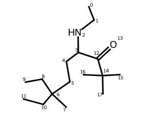 CCNC(CCC(C)(CC)CC)C(=O)C(C)(C)C